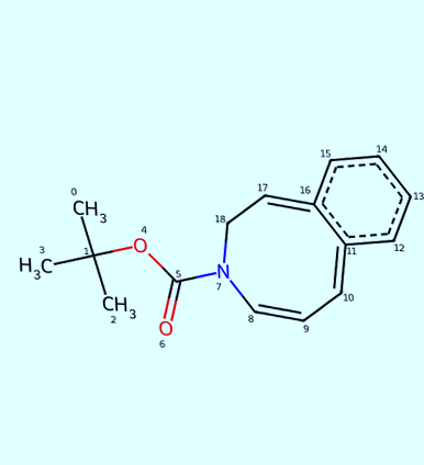 CC(C)(C)OC(=O)N1\C=C/C=c2/cccc/c2=C/C1